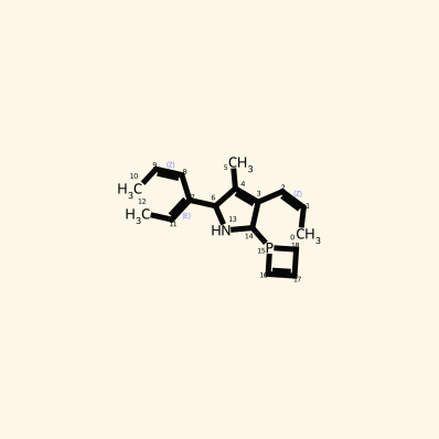 C/C=C\C1=C(C)C(C(/C=C\C)=C/C)NC1P1C=CC1